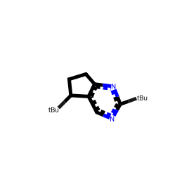 CC(C)(C)c1ncc2c(n1)CCC2C(C)(C)C